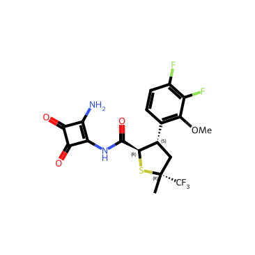 COc1c([C@@H]2C[C@](C)(C(F)(F)F)S[C@H]2C(=O)Nc2c(N)c(=O)c2=O)ccc(F)c1F